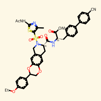 CCOc1ccc(C2COc3cc4c(cc3O2)CN(S(=O)(=O)c2sc(NC(C)=O)nc2C)[C@H](C(=O)N[C@@H](Cc2ccc(-c3ccc(C#N)cc3)cc2)C(=O)OC)C4)cc1